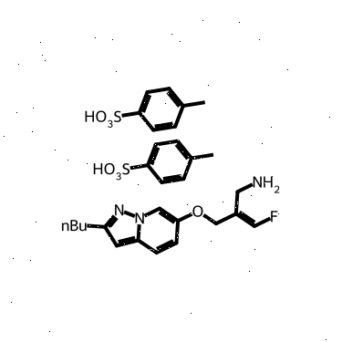 CCCCc1cc2ccc(OC/C(=C/F)CN)cn2n1.Cc1ccc(S(=O)(=O)O)cc1.Cc1ccc(S(=O)(=O)O)cc1